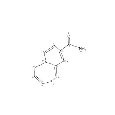 NC(=O)C1=NC2=CSC=CCN2C=C1